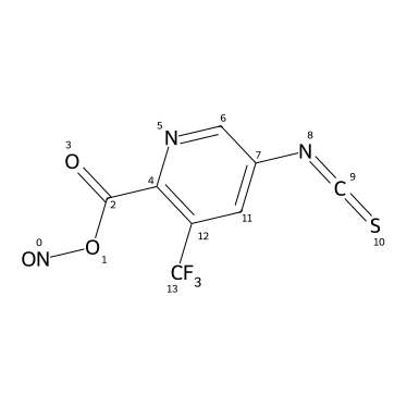 O=NOC(=O)c1ncc(N=C=S)cc1C(F)(F)F